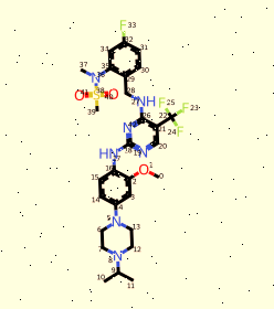 COc1cc(N2CCN(C(C)C)CC2)ccc1Nc1ncc(C(F)(F)F)c(NCc2ccc(F)cc2N(C)S(C)(=O)=O)n1